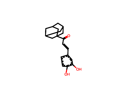 O=C(C=Cc1ccc(O)c(O)c1)C12CC3CC(CC(C3)C1)C2